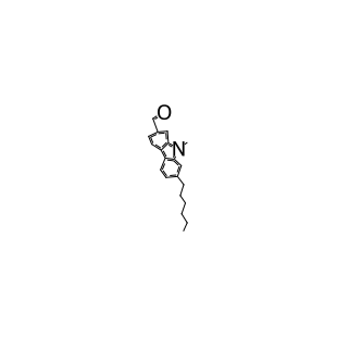 CCCCCCc1ccc2c3ccc(C=O)cc3n(C)c2c1